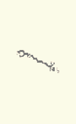 NC(=O)CCCCCCCCOCC1CCOCC1